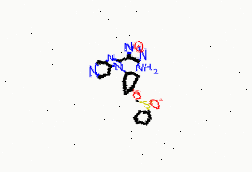 Nc1nonc1-c1nc2cnccc2n1-c1ccc(OC[S+]([O-])c2ccccc2)cc1